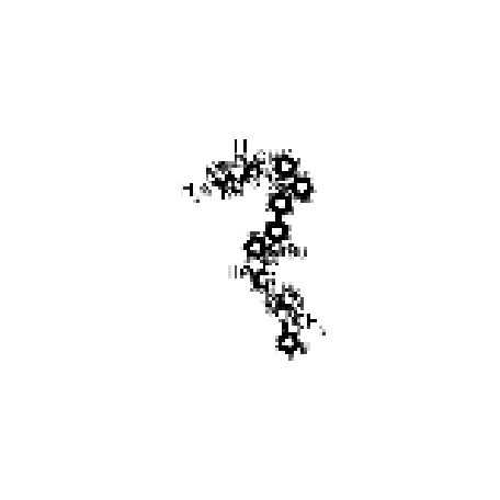 CN(Cc1cccc(F)c1)c1ncnc2c1ncn2[C@H]1C[C@H](O)[C@@H](CO[Si](c2ccccc2)(c2ccc(-c3ccc([Si](OC[C@H]4O[C@@H](n5cnc6c(N)ncnc65)C(O)[C@@H]4O)(c4ccccc4)c4ccccc4)cc3)cc2)C(C)(C)C)O1